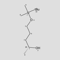 C[C@@H](O)CCCO[Si](C)(C)C(C)(C)C